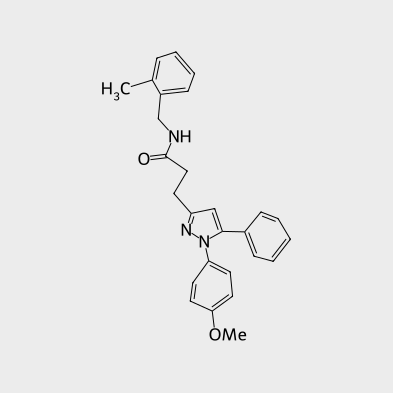 COc1ccc(-n2nc(CCC(=O)NCc3ccccc3C)cc2-c2ccccc2)cc1